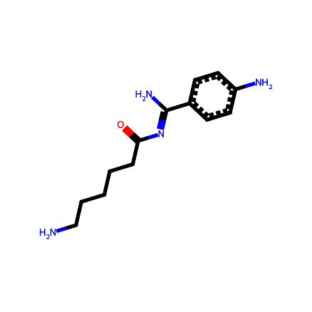 NCCCCCC(=O)N=C(N)c1ccc(N)cc1